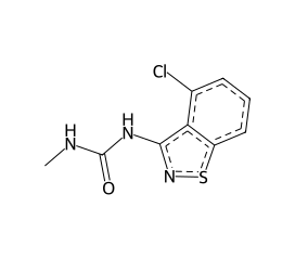 CNC(=O)Nc1nsc2cccc(Cl)c12